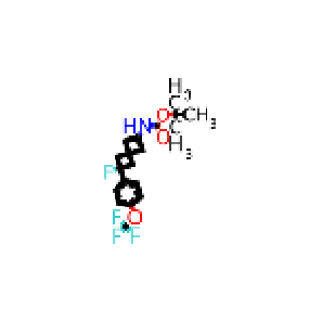 CC(C)(C)OC(=O)NC1CC2(C1)CC(F)(c1ccc(OC(F)(F)F)cc1)C2